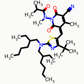 CCCCC(CC)CN(CC(CC)CCCC)c1nc(C(C)(C)C)c(/C=C2\C(=O)N(N(C)C(=O)C(C)C)C(=O)C(C#N)=C2C)s1